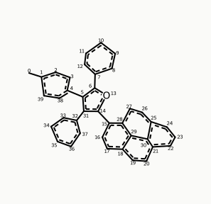 Cc1ccc(-c2c(-c3ccccc3)oc(-c3ccc4ccc5cccc6ccc3c4c56)c2-c2ccccc2)cc1